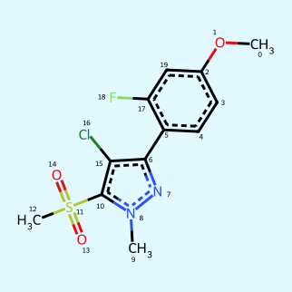 COc1ccc(-c2nn(C)c(S(C)(=O)=O)c2Cl)c(F)c1